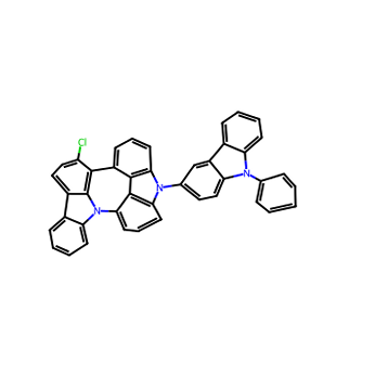 Clc1ccc2c3ccccc3n3c4cccc5c4c4c(cccc4n5-c4ccc5c(c4)c4ccccc4n5-c4ccccc4)c1c23